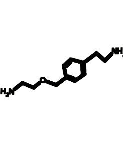 NCCOCc1ccc(CCN)cc1